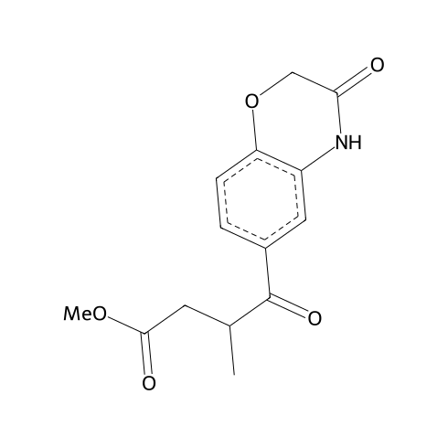 COC(=O)CC(C)C(=O)c1ccc2c(c1)NC(=O)CO2